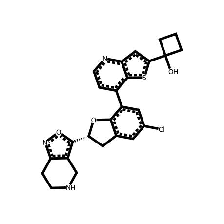 OC1(c2cc3nccc(-c4cc(Cl)cc5c4O[C@@H](c4onc6c4CNCC6)C5)c3s2)CCC1